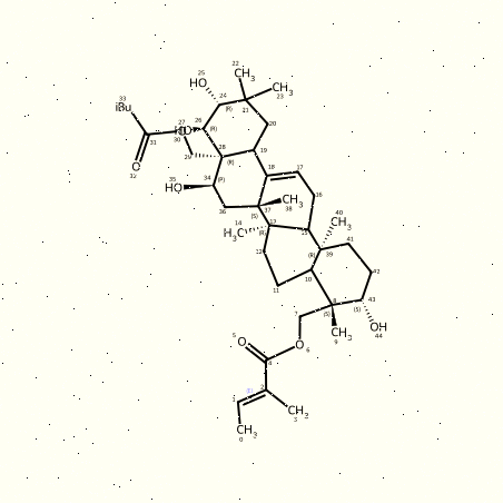 C/C=C(\C)C(=O)OC[C@]1(C)C2CC[C@]3(C)C(CC=C4C5CC(C)(C)[C@@H](O)[C@H](O)[C@]5(COC(=O)C(C)CC)[C@H](O)C[C@]43C)[C@@]2(C)CC[C@@H]1O